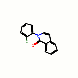 O=c1c2ccccc2ccn1-c1ccccc1Cl